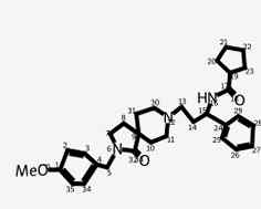 COc1ccc(CN2CCC3(CCN(CCC(NC(=O)C4CCCC4)c4ccccc4)CC3)C2=O)cc1